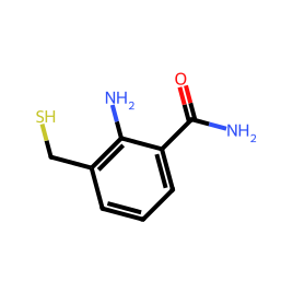 NC(=O)c1cccc(CS)c1N